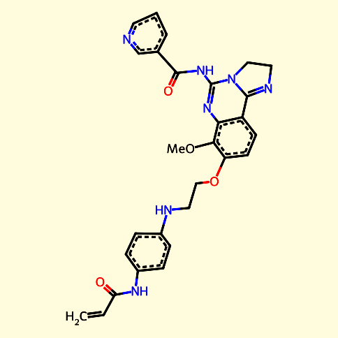 C=CC(=O)Nc1ccc(NCCOc2ccc3c(c2OC)N=C(NC(=O)c2cccnc2)N2CCN=C32)cc1